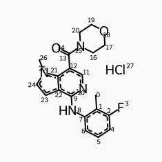 Cc1c(F)cccc1Nc1ncc(C(=O)N2CCOCC2)c2c1ccn2C.Cl